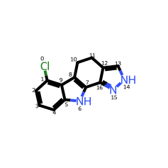 Clc1cccc2[nH]c3c(c12)CCc1c[nH]nc1-3